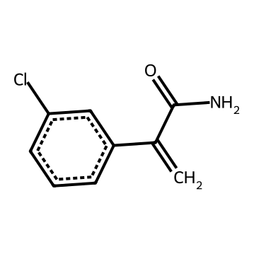 C=C(C(N)=O)c1cccc(Cl)c1